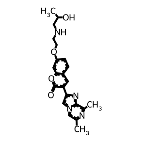 Cc1cn2cc(-c3cc4ccc(OCCNCC(C)O)cc4oc3=O)nc2c(C)n1